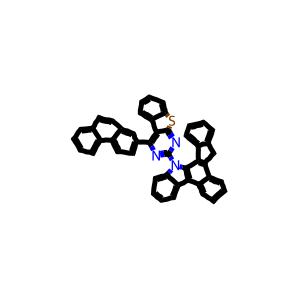 c1ccc2c(c1)Cc1c-2c2c(c3ccccc13)c1ccccc1n2-c1nc(-c2ccc3c(ccc4ccccc43)c2)c2c(n1)sc1ccccc12